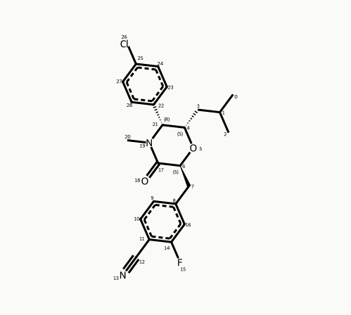 CC(C)C[C@@H]1O[C@@H](Cc2ccc(C#N)c(F)c2)C(=O)N(C)[C@@H]1c1ccc(Cl)cc1